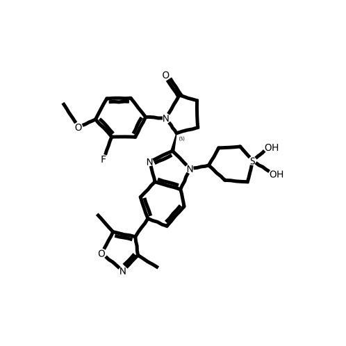 COc1ccc(N2C(=O)CC[C@H]2c2nc3cc(-c4c(C)noc4C)ccc3n2C2CCS(O)(O)CC2)cc1F